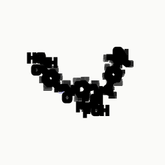 Cc1noc(C)c1-c1ccc(C2CC2NCC2CCN(C(=O)/C=C/c3ccc(C(=O)NO)cc3)CC2)cc1.O=C(O)C(F)(F)F